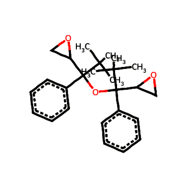 CC(C)(C)C(OC(c1ccccc1)(C1CO1)C(C)(C)C)(c1ccccc1)C1CO1